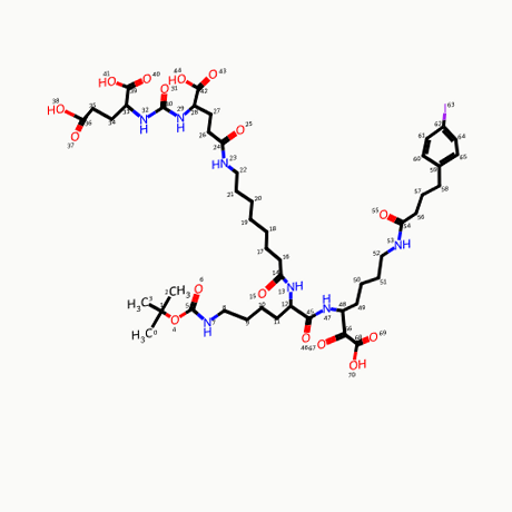 CC(C)(C)OC(=O)NCCCCC(NC(=O)CCCCCCCNC(=O)CCC(NC(=O)NC(CCC(=O)O)C(=O)O)C(=O)O)C(=O)NC(CCCCNC(=O)CCCc1ccc(I)cc1)C(=O)C(=O)O